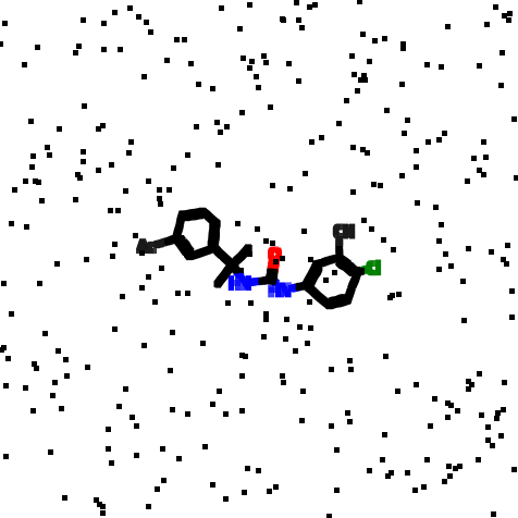 CC(=O)c1cccc(C(C)(C)NC(=O)Nc2ccc(Cl)c(C#N)c2)c1